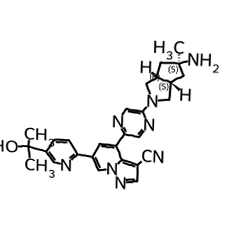 CC(C)(O)c1ccc(-c2cc(-c3cnc(N4C[C@@H]5C[C@@](C)(N)C[C@@H]5C4)cn3)c3c(C#N)cnn3c2)nc1